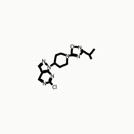 CC(C)c1noc(N2CCC(n3ncc4cnc(Cl)nc43)CC2)n1